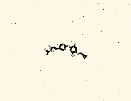 CC(=O)N[C@@H](C)/C=C/c1cnc(Oc2cc(O)c(OCC3CC3)cc2Cl)nc1